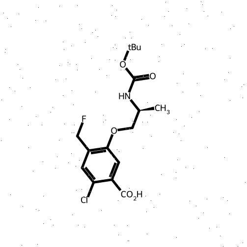 C[C@@H](COc1cc(C(=O)O)c(Cl)cc1CF)NC(=O)OC(C)(C)C